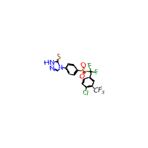 O=S(=O)(c1ccc(-n2cn[nH]c2=S)cc1)C(F)(F)c1ccc(Cl)c(C(F)(F)F)c1